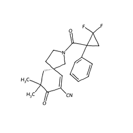 CC1(C)C[C@]2(C=C(C#N)C1=O)CCN(C(=O)C1(c3ccccc3)CC1(F)F)C2